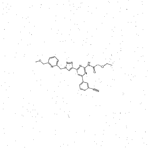 CCOCC(=O)Nc1nc(-c2cccc(C#N)c2)cc(-c2cn(Cc3cccc(COC)n3)nn2)n1